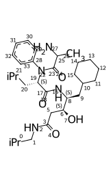 CC(C)CNC(=O)C[C@H](O)[C@H](CC1CCCCC1)NC(=O)[C@H](CC(C)C)N(C(=O)C(C)N)c1ccccc1